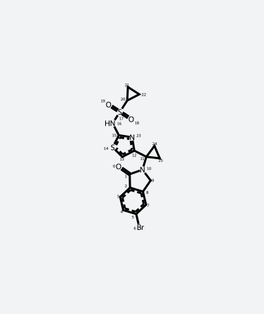 O=C1c2ccc(Br)cc2CN1C1(c2csc(NS(=O)(=O)C3CC3)n2)CC1